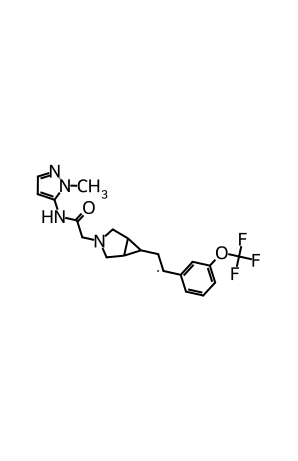 Cn1nccc1NC(=O)CN1CC2C(C[CH]c3cccc(OC(F)(F)F)c3)C2C1